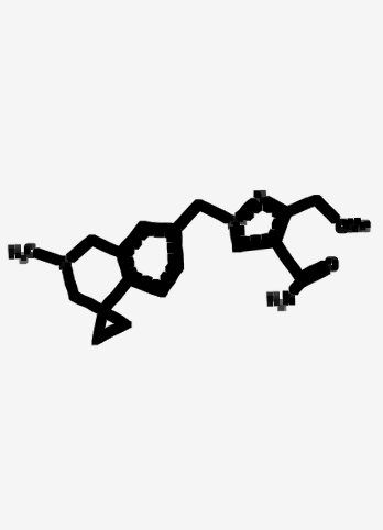 COCc1nn(Cc2ccc3c(c2)CN(C)CC32CC2)cc1C(N)=O